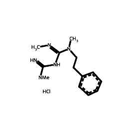 CN=C(NC(=N)NC)N(C)CCc1ccccc1.Cl